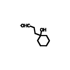 O=[C]CCC1(O)CCCCC1